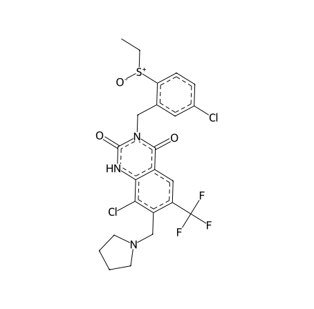 CC[S+]([O-])c1ccc(Cl)cc1Cn1c(=O)[nH]c2c(Cl)c(CN3CCCC3)c(C(F)(F)F)cc2c1=O